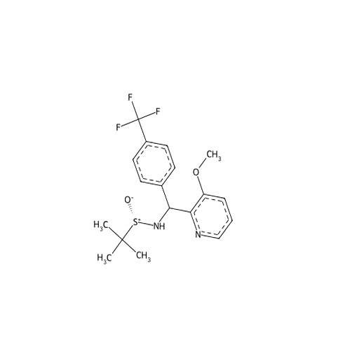 COc1cccnc1C(N[S@@+]([O-])C(C)(C)C)c1ccc(C(F)(F)F)cc1